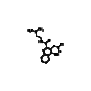 CCN(CC)Cc1c(C(=O)NCCN(C)C)nc2ccccc2c1O